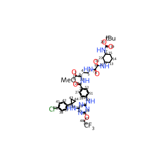 COC(=O)[C@H](CCNC(=O)C(=O)NC1CCCC(NC(=O)OC(C)(C)C)C1)NC(=O)c1ccc(Nc2nc(NC3(c4ccc(Cl)cc4)CC3)nc(OCC(F)(F)F)n2)cc1